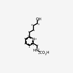 O=C(O)NCc1cccc(CCCCO)n1